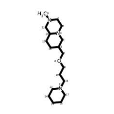 CN1CCN2CC(COCCCN3CCCCC3)CCC2C1